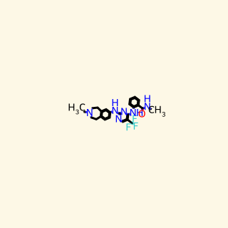 CCN1CCc2ccc(Nc3ncc(C(F)(F)F)c(Nc4ccccc4C(=O)NC)n3)cc2CC1